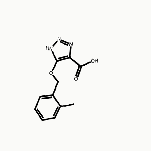 Cc1ccccc1COc1[nH]nnc1C(=O)O